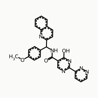 COc1ccc(C(NC(=O)c2cnc(-c3cccnn3)nc2O)c2ccc3ccccc3n2)cc1